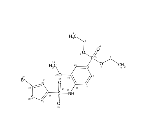 CCOP(=O)(OCC)c1ccc(NS(=O)(=O)c2csc(Br)n2)c(OC)c1